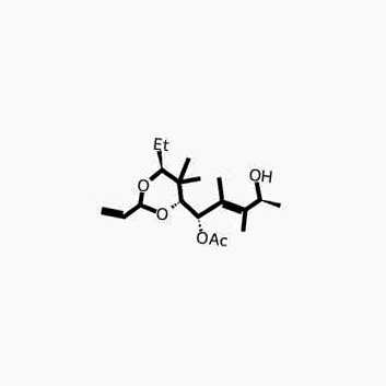 C=CC1O[C@@H](CC)C(C)(C)[C@H]([C@@H](OC(C)=O)/C(C)=C(\C)[C@H](C)O)O1